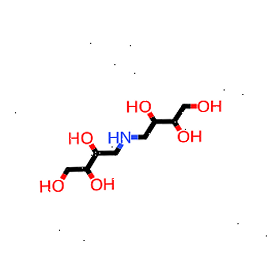 OCC(O)C(O)CNCC(O)C(O)CO